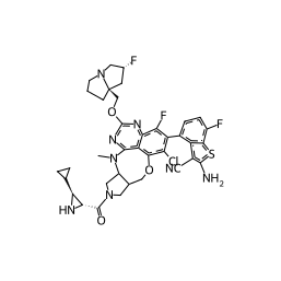 CN1c2nc(OC[C@@]34CCCN3C[C@H](F)C4)nc3c(F)c(-c4ccc(F)c5sc(N)c(C#N)c45)c(Cl)c(c23)OCC2CN(C(=O)[C@@H]3N[C@H]3C3CC3)CC21